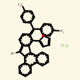 FC(F)(F)c1ccc(C(c2ccc(C(F)(F)F)cc2)=c2ccc3c(c2C2=CC=CC2)-c2c(c4ccccc4c4ccccc24)[C]=3[Zr+2])cc1.[Cl-].[Cl-]